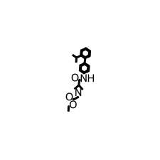 CCOC(=O)CN1CC(C(=O)Nc2ccc(-c3ccccc3C(C)C)cc2)C1